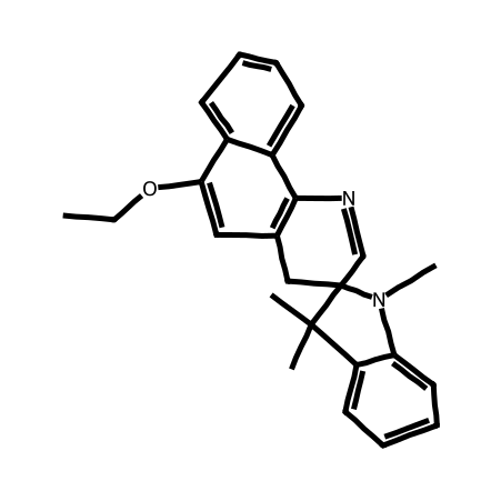 CCOc1cc2c(c3ccccc13)N=CC1(C2)N(C)c2ccccc2C1(C)C